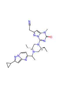 CC[C@H]1CN(C(C)c2ccn3nc(C4CC4)cc3n2)[C@H](CC)CN1c1nc(=O)n(C)c2cc(CC#N)nn12